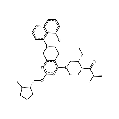 C=C(F)C(=O)N1CCN(c2nc(OC[C@@H]3CCCN3C)nc3c2CCN(c2cccc4cccc(Cl)c24)C3)C[C@@H]1CC